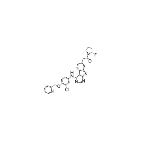 O=C(Cc1ccc2c(c1)sc1ncnc(Nc3ccc(OCc4ccccn4)c(Cl)c3)c12)N1CCC[C@@H]1F